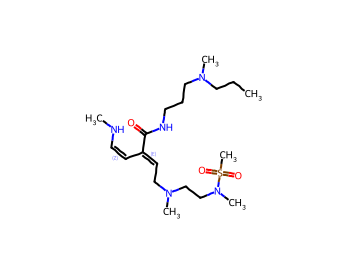 CCCN(C)CCCNC(=O)C(/C=C\NC)=C/CN(C)CCN(C)S(C)(=O)=O